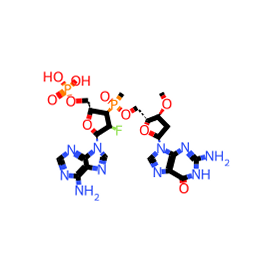 CO[C@H]1C[C@H](n2cnc3c(=O)[nH]c(N)nc32)O[C@@H]1COP(C)(=O)[C@H]1[C@@H](F)[C@H](n2cnc3c(N)ncnc32)O[C@@H]1COP(=O)(O)O